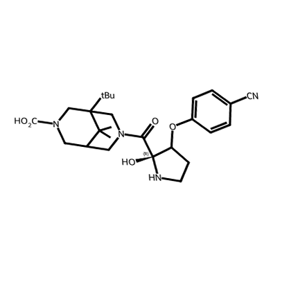 CC(C)(C)C12CN(C(=O)O)CC(CN(C(=O)[C@@]3(O)NCCC3Oc3ccc(C#N)cc3)C1)C2(C)C